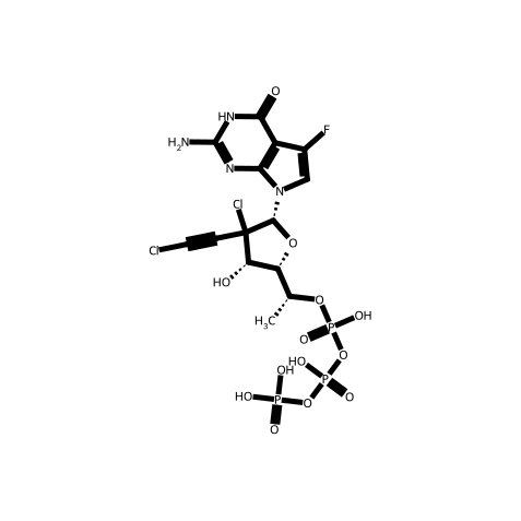 C[C@@H](OP(=O)(O)OP(=O)(O)OP(=O)(O)O)[C@H]1O[C@@H](n2cc(F)c3c(=O)[nH]c(N)nc32)C(Cl)(C#CCl)[C@H]1O